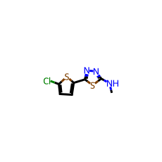 CNc1nnc(-c2ccc(Cl)s2)s1